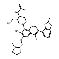 C=C(F)C(=O)N1CCN(c2c(C#N)c(OC[C@@H]3CCCN3C)nc3c(F)c(-c4cccc5c4CC(C)C5)ccc23)C[C@@H]1CC#N